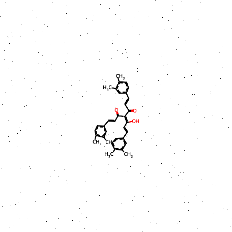 Cc1ccc(/C=C/C(=O)C(C(=O)/C=C/c2ccc(C)c(C)c2)=C(O)/C=C/c2ccc(C)c(C)c2)cc1C